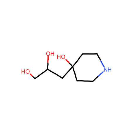 OCC(O)CC1(O)CCNCC1